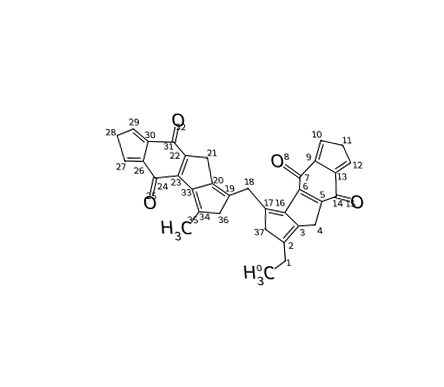 CCC1=C2CC3=C(C(=O)C4=CCC=C4C3=O)C2=C(CC2=C3CC4=C(C(=O)C5=CCC=C5C4=O)C3=C(C)C2)C1